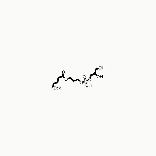 CCCCCCCCCCCCCC(=O)OCCCOP(=O)(O)OCC(O)CO